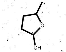 CC1CCC(O)O1